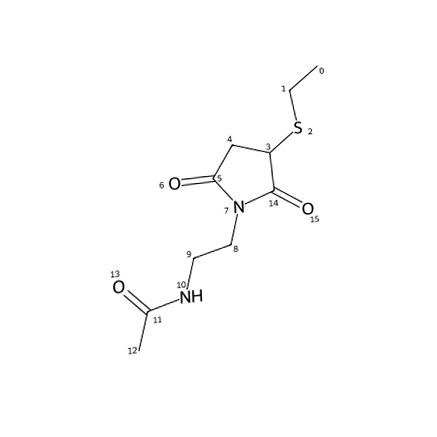 CCSC1CC(=O)N(CCNC(C)=O)C1=O